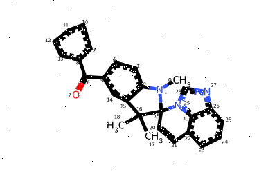 CN1c2ccc(C(=O)c3ccccc3)cc2C(C)(C)C12C=Cc1cccc3ncn2c13